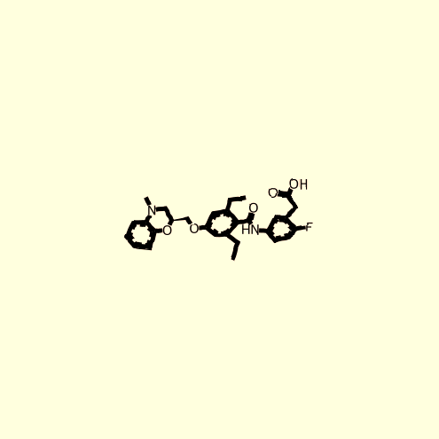 CCc1cc(OC[C@@H]2CN(C)c3ccccc3O2)cc(CC)c1C(=O)Nc1ccc(F)c(CC(=O)O)c1